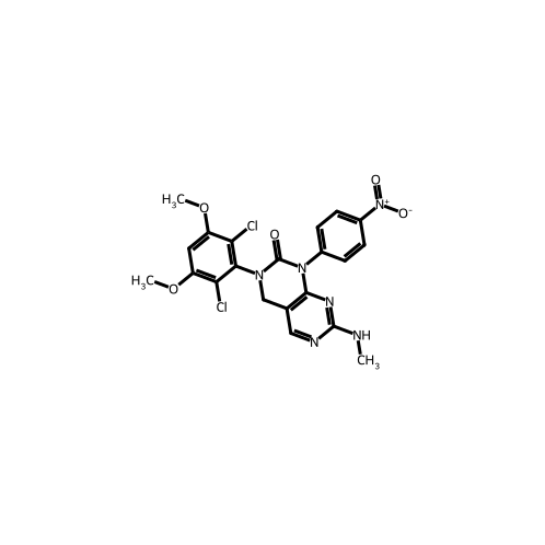 CNc1ncc2c(n1)N(c1ccc([N+](=O)[O-])cc1)C(=O)N(c1c(Cl)c(OC)cc(OC)c1Cl)C2